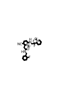 N#Cc1ccc(NCC(F)(F)c2cccc[n+]2[O-])[n+]([O-])c1CC(=O)NCc1ccccc1F